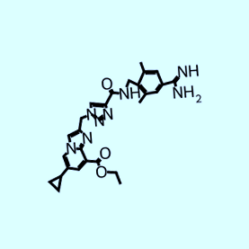 CCOC(=O)c1cc(C2CC2)cn2cc(Cn3cc(C(=O)NCc4c(C)cc(C(=N)N)cc4C)nn3)nc12